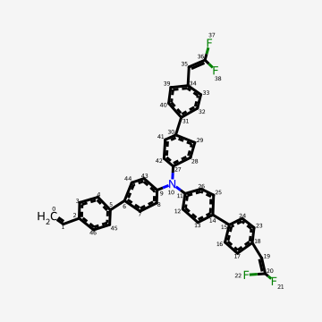 C=Cc1ccc(-c2ccc(N(c3ccc(-c4ccc(C=C(F)F)cc4)cc3)c3ccc(-c4ccc(C=C(F)F)cc4)cc3)cc2)cc1